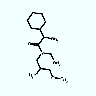 COCC(C)CN(CN)C(=O)C(N)C1CCCCC1